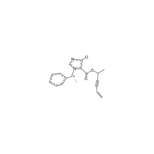 C=CC#CC(C)OC(=O)c1c(Cl)ncn1[C@H](C)c1ccccc1